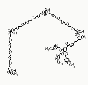 CCn1cc(COc2cc(C(=O)NCCCCC(CO)COP(=O)(O)OCCOCCOCCOCCOCCOCCOP(=O)(O)OCCOCCOCCOCCOCCOCCOP(=O)(O)OCCOCCOCCOCCOCCOCCOP(=O)(O)OC)cc(OCc3cn(CC)nn3)c2OCC2=CC(C)N=N2)nn1